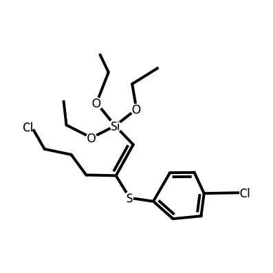 CCO[Si](C=C(CCCCl)Sc1ccc(Cl)cc1)(OCC)OCC